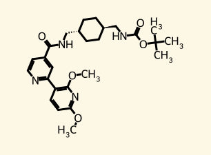 COc1ccc(-c2cc(C(=O)NC[C@H]3CC[C@H](CNC(=O)OC(C)(C)C)CC3)ccn2)c(OC)n1